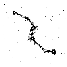 O=C(Oc1ccc(CCNCCCCCCOCCCc2ccccc2)c2sc(=O)[nH]c12)C(=O)Oc1ccc(CCNCCCCCCOCCCc2ccccc2)c2sc(=O)[nH]c12